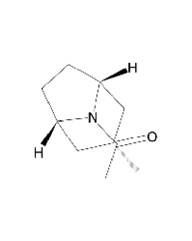 CC(=O)N1[C@@H]2CC[C@H]1C[C@@H](C)C2